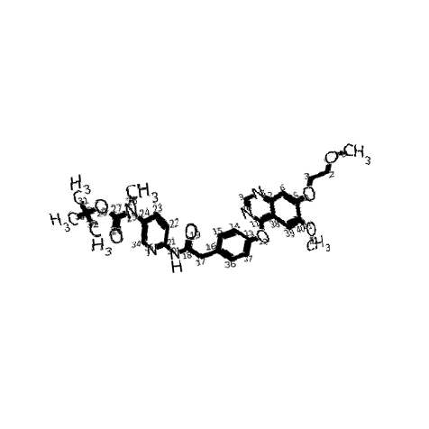 COCCOc1cc2ncnc(Oc3ccc(CC(=O)Nc4ccc(N(C)C(=O)OC(C)(C)C)cn4)cc3)c2cc1OC